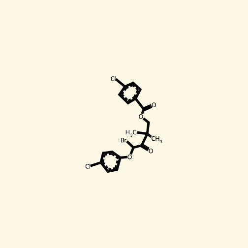 CC(C)(COC(=O)c1ccc(Cl)cc1)C(=O)C(Br)Oc1ccc(Cl)cc1